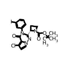 CC(C)(C)OC(=O)N1CC[C@H]1c1nn2ccc(Cl)c2c(=O)n1-c1cccc(I)c1